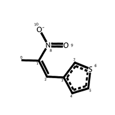 CC(=Cc1ccsc1)[N+](=O)[O-]